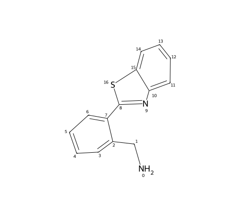 NCc1ccccc1-c1nc2ccccc2s1